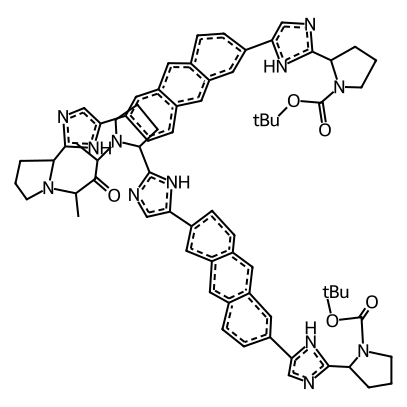 CC(C(=O)C(C)N1CCCC1c1ncc(-c2ccc3cc4cc(-c5cnc(C6CCCN6C(=O)OC(C)(C)C)[nH]5)ccc4cc3c2)[nH]1)N1CCCC1c1ncc(-c2ccc3cc4cc(-c5cnc(C6CCCN6C(=O)OC(C)(C)C)[nH]5)ccc4cc3c2)[nH]1